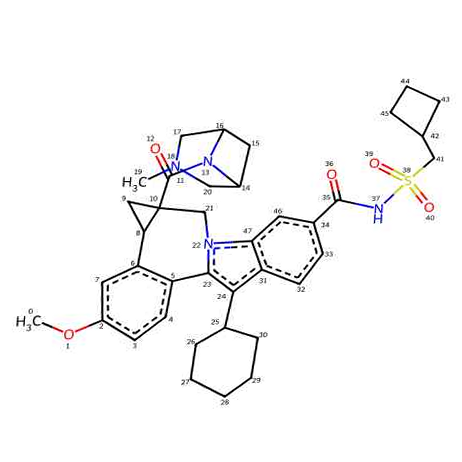 COc1ccc2c(c1)C1CC1(C(=O)N1C3CC1CN(C)C3)Cn1c-2c(C2CCCCC2)c2ccc(C(=O)NS(=O)(=O)CC3CCC3)cc21